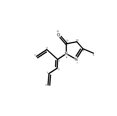 C=C/C=C(\C=C)N1N=C(C)CC1=O